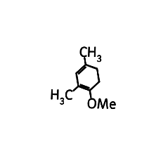 COC1=C(C)C=C(C)CC1